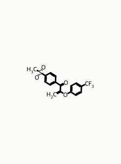 C=C(Oc1ccc(C(F)(F)F)cc1)C(=O)c1ccc(S(C)(=O)=O)cc1